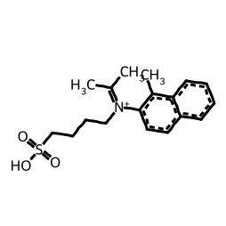 CC(C)=[N+](CCCCS(=O)(=O)O)c1ccc2ccccc2c1C